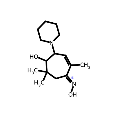 CC1=CC(N2CCCCC2)C(O)C(C)(C)C/C1=N\O